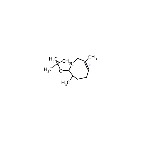 C/C1=C/CCC(C)C(O[Si](C)(C)C)CC1